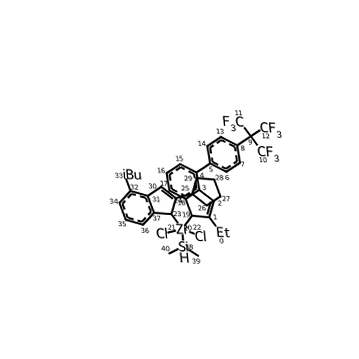 CCC1=Cc2c(-c3ccc(C(C(F)(F)F)(C(F)(F)F)C(F)(F)F)cc3)cccc2[CH]1[Zr]([Cl])([Cl])([CH]1C(C2CCCC2)=Cc2c(C(C)CC)cccc21)[SiH](C)C